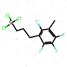 Cc1c(F)c(F)c(F)c(CCC[Si](Cl)(Cl)Cl)c1F